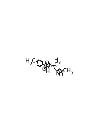 CC(Cc1cc(C)on1)=NNS(=O)(=O)c1ccc(C)cc1